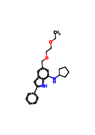 CCOCCOCc1cc(NC2CCCC2)c2[nH]c(-c3ccccc3)cc2c1